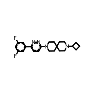 Fc1cc(F)cc(-c2ccc(N3CCC4(CC3)CCN(C3CCC3)CC4)nn2)c1